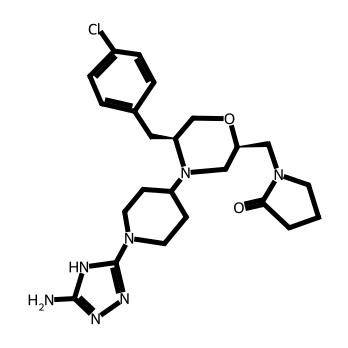 Nc1nnc(N2CCC(N3C[C@H](CN4CCCC4=O)OC[C@@H]3Cc3ccc(Cl)cc3)CC2)[nH]1